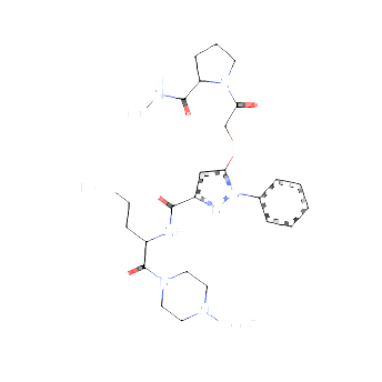 CCOC(=O)N1CCN(C(=O)C(CCC(=O)O)NC(=O)c2cc(OCC(=O)N3CCCC3C(=O)NC(C)C)n(-c3ccccc3)n2)CC1